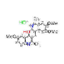 CCCc1nc(O)c(Cc2cc3cc(OC)ccc3nc2C(F)(F)F)c2cc(OC)c(OC)cc12.Cl